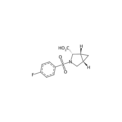 O=C(O)[C@@H]1[C@@H]2C[C@@H]2CN1S(=O)(=O)c1ccc(F)cc1